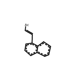 CC(=O)/C=C/c1cccc2ccccc12